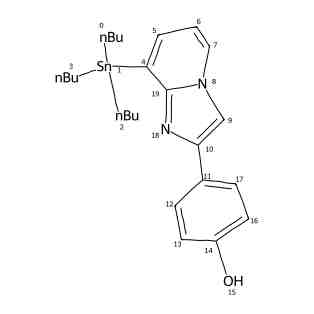 CCC[CH2][Sn]([CH2]CCC)([CH2]CCC)[c]1cccn2cc(-c3ccc(O)cc3)nc12